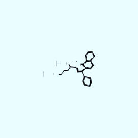 CCCCC(C)c1cc(-c2ccccc2)c2ccc3ccccc3c2n1